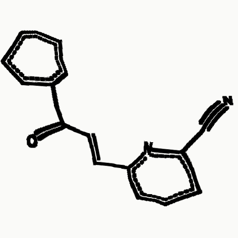 N#Cc1cccc(C=CC(=O)c2ccccc2)n1